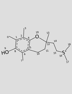 Cc1c(C)c2c(c(C)c1O)CCC(C)(CC[S+](C)C)O2